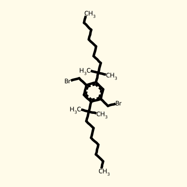 CCCCCCCC(C)(C)c1cc(CBr)c(C(C)(C)CCCCCCC)cc1CBr